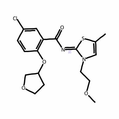 COCCn1cc(C)s/c1=N\C(=O)c1cc(Cl)ccc1OC1CCOC1